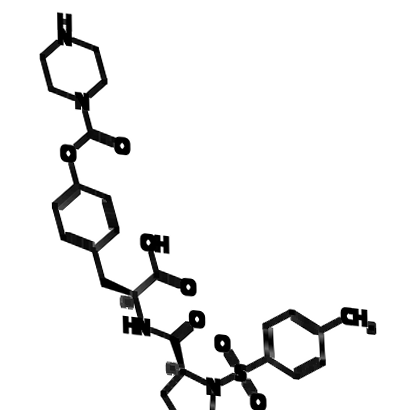 Cc1ccc(S(=O)(=O)N2CCC[C@H]2C(=O)N[C@@H](Cc2ccc(OC(=O)N3CCNCC3)cc2)C(=O)O)cc1